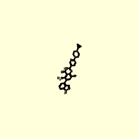 Nc1c(-c2cccc3[nH]ncc23)cc(Br)c2nc(-c3ccc(N4CCN(C5CC5)CC4)nc3)[nH]c(=O)c12